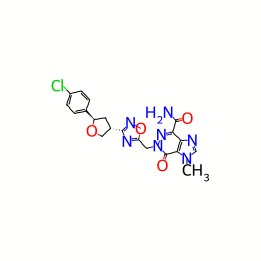 Cn1cnc2c(C(N)=O)nn(Cc3nc([C@@H]4CO[C@@H](c5ccc(Cl)cc5)C4)no3)c(=O)c21